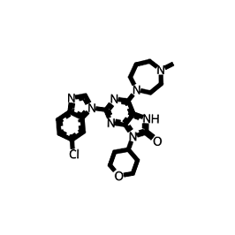 CN1CCCN(c2nc(-n3cnc4ccc(Cl)cc43)nc3c2[nH]c(=O)n3C2CCOCC2)CC1